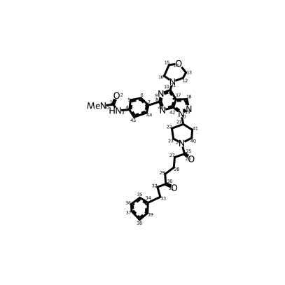 CNC(=O)Nc1ccc(-c2nc(N3CCOCC3)c3cnn(C4CCN(C(=O)CCCC(=O)CCc5ccccc5)CC4)c3n2)cc1